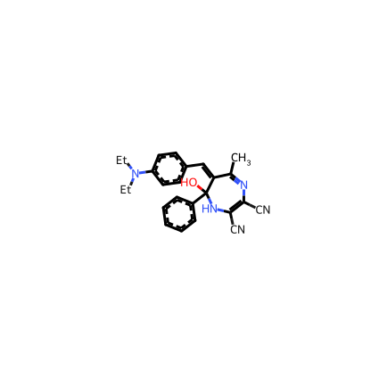 CCN(CC)c1ccc(/C=C2/C(C)=NC(C#N)=C(C#N)NC2(O)c2ccccc2)cc1